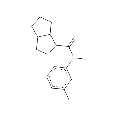 Cc1cccc(N(C)C(=O)C2NCC3CCCC32)c1